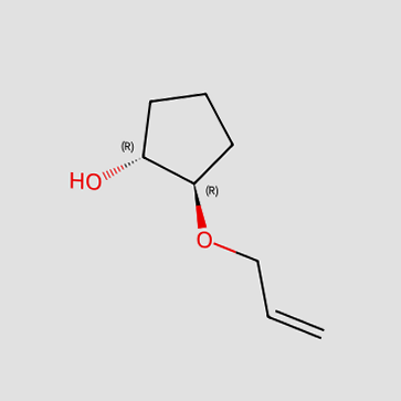 C=CCO[C@@H]1CCC[C@H]1O